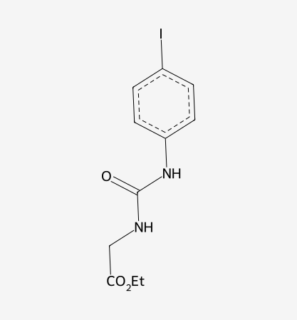 CCOC(=O)CNC(=O)Nc1ccc(I)cc1